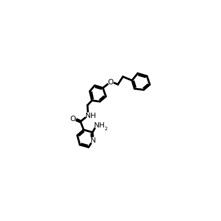 Nc1ncccc1C(=O)NCc1ccc(OCCc2ccccc2)cc1